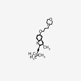 Cc1cc2cc(OCCCN3CCOCC3)ccc2nc1C#C[Si](C)(C)C